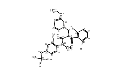 COc1cccc(CN(C(=O)c2c(F)cccc2F)C(=O)N(C)c2ccc(SC(F)(F)F)cc2F)c1